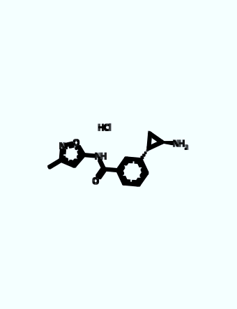 Cc1cc(NC(=O)c2cccc([C@@H]3C[C@H]3N)c2)on1.Cl